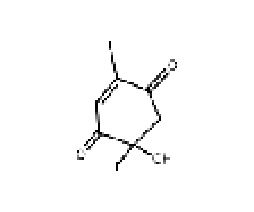 O=C1CC(O)(I)C(=O)C=C1I